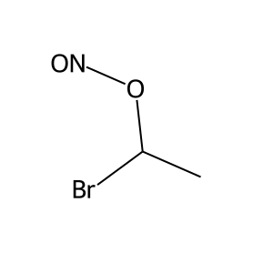 CC(Br)ON=O